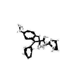 COc1ccc2c(c1)C(c1ccccc1)C(C)(C(=O)Nc1nccs1)C2